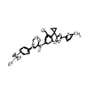 CCS(=O)(=O)c1ccc(N(CC(=O)Nc2cc(Cl)c(C3(c4noc(-c5ccc(C)s5)n4)CC3)c(Cl)c2)CC(F)(F)F)cc1